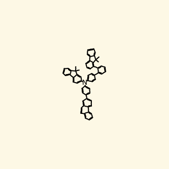 CC1(C)c2ccccc2-c2ccc(N(c3ccc(-c4ccc5c(ccc6ccccc65)c4)cc3)c3ccc(-c4ccccc4-c4cccc5c4C(C)(C)c4ccccc4-5)cc3)cc21